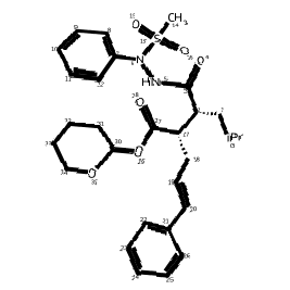 CC(C)C[C@@H](C(=O)NN(c1ccccc1)S(C)(=O)=O)[C@H](CC=Cc1ccccc1)C(=O)OC1CCCCO1